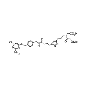 COCC(=O)C(CCCc1cn(CCCC(=O)NCc2ccc(COc3cc(Cl)nc(N)n3)cc2)nn1)CC(=O)O